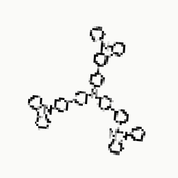 c1ccc(-n2c(-c3cccc(-c4ccc(N(c5ccc(-c6ccc(-n7c8ccccc8c8ccccc87)cc6)cc5)c5ccc(-c6ccc7c(c6)c6ccccc6n7-c6ccccc6)cc5)cc4)c3)nc3ccccc32)cc1